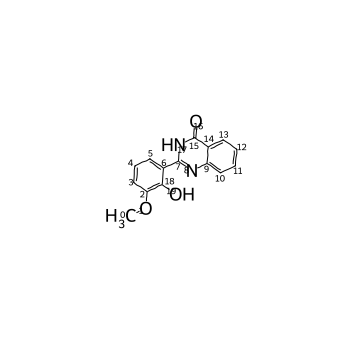 COc1cccc(-c2nc3ccccc3c(=O)[nH]2)c1O